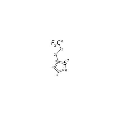 FC(F)(F)CCc1cccs1